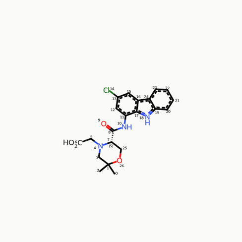 CC1(C)CN(CC(=O)O)[C@H](C(=O)Nc2cc(Cl)cc3c2[nH]c2ccccc23)CO1